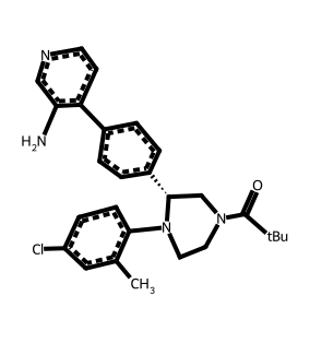 Cc1cc(Cl)ccc1N1CCN(C(=O)C(C)(C)C)C[C@H]1c1ccc(-c2ccncc2N)cc1